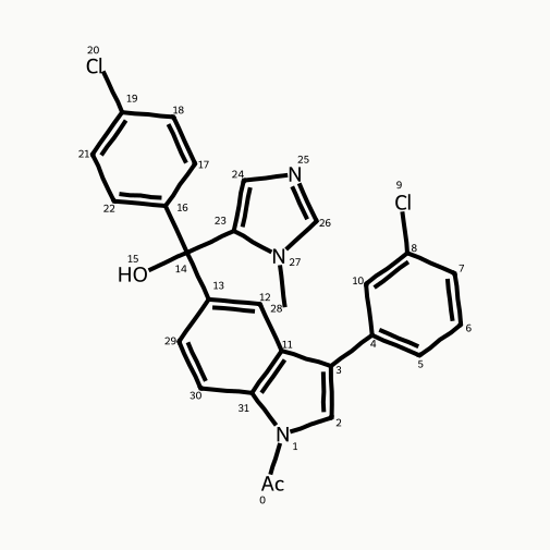 CC(=O)n1cc(-c2cccc(Cl)c2)c2cc(C(O)(c3ccc(Cl)cc3)c3cncn3C)ccc21